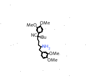 CCC(C)C(C#N)(CCCC(N)Cc1ccc(OC)c(OC)c1)c1ccc(OC)c(OC)c1